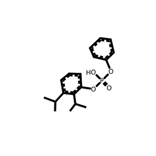 CC(C)c1cccc(OP(=O)(O)Oc2ccccc2)c1C(C)C